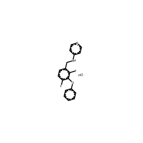 Cl.Fc1ccc(CNc2ccncc2)c(F)c1Oc1ccccc1